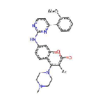 COc1ccccc1-c1ccnc(Nc2ccc3c(N4CCN(C)CC4)c(C(C)=O)c(=O)oc3c2)n1